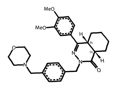 COc1ccc(C2=NN(Cc3ccc(CN4CCOCC4)cc3)C(=O)[C@H]3CCCC[C@@H]23)cc1OC